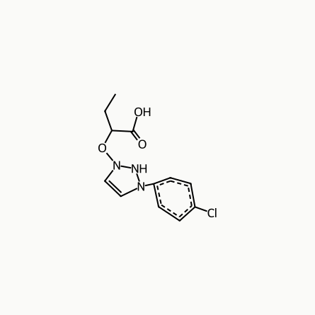 CCC(ON1C=CN(c2ccc(Cl)cc2)N1)C(=O)O